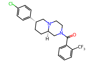 O=C(c1ccccc1C(F)(F)F)N1CCN2C[C@@H](c3ccc(Cl)cc3)CC[C@@H]2C1